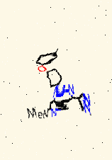 CNc1cc2c(cn1)c(-c1cnn(C)c1)nn2C1CCC(Oc2ccc(C)cc2)CC1